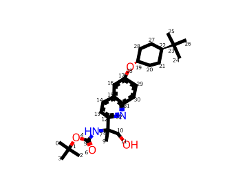 CC(C)(C)OC(=O)NC(C)(CO)c1ccc2cc(O[C@H]3CC[C@H](C(C)(C)C)CC3)ccc2n1